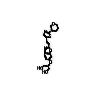 OCC(CO)Oc1ccc2nc(/C=C/c3cnc(N4CCCOC4)s3)oc2c1